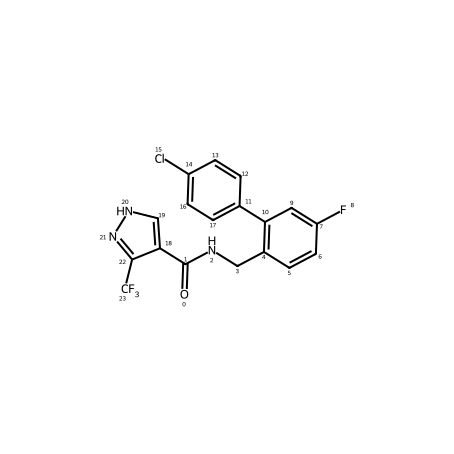 O=C(NCc1ccc(F)cc1-c1ccc(Cl)cc1)c1c[nH]nc1C(F)(F)F